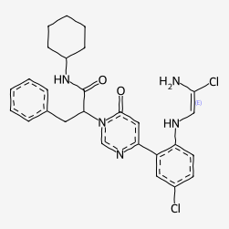 N/C(Cl)=C\Nc1ccc(Cl)cc1-c1cc(=O)n(C(Cc2ccccc2)C(=O)NC2CCCCC2)cn1